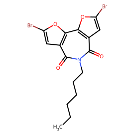 CCCCCCn1c(=O)c2cc(Br)oc2c2oc(Br)cc2c1=O